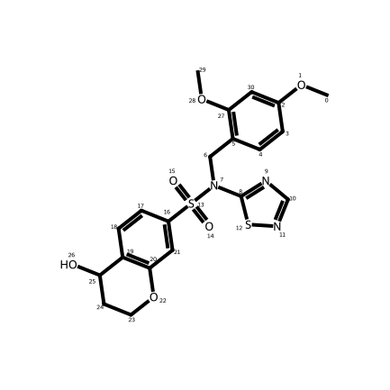 COc1ccc(CN(c2ncns2)S(=O)(=O)c2ccc3c(c2)OCCC3O)c(OC)c1